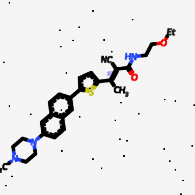 CCOCCNC(=O)/C(C#N)=C(\C)c1ccc(-c2ccc3cc(N4CCN(C)CC4)ccc3c2)s1